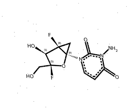 Nn1c(=O)ccn([C@@]23C[C@@]2(F)[C@H](O)[C@@](F)(CO)O3)c1=O